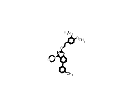 COc1ccc(CCOc2nc(N3CCOCC3)c3cc(-c4cccc(C)c4)ccc3n2)cc1OC